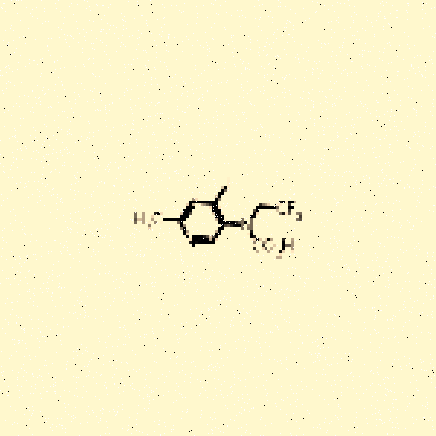 Cc1cc(I)c(N(CC(F)(F)F)C(=O)O)cn1